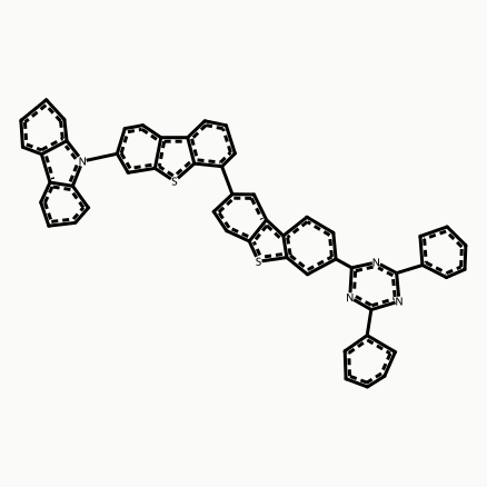 c1ccc(-c2nc(-c3ccccc3)nc(-c3ccc4c(c3)sc3ccc(-c5cccc6c5sc5cc(-n7c8ccccc8c8ccccc87)ccc56)cc34)n2)cc1